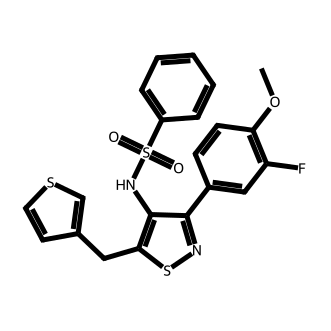 COc1ccc(-c2nsc(Cc3ccsc3)c2NS(=O)(=O)c2ccccc2)cc1F